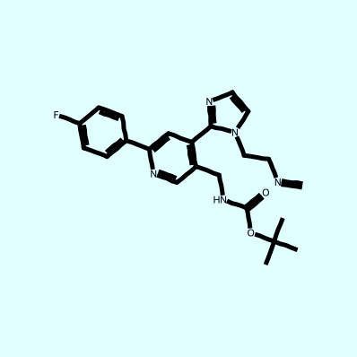 C=NCCn1ccnc1-c1cc(-c2ccc(F)cc2)ncc1CNC(=O)OC(C)(C)C